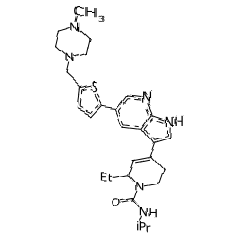 CCC1C=C(c2c[nH]c3ncc(-c4ccc(CN5CCN(C)CC5)s4)cc23)CCN1C(=O)NC(C)C